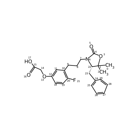 CC1(C)OC(=O)N(CCCc2cc(OCC(=O)O)ccc2F)[C@H]1Cc1ccccc1